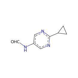 O=CNc1cnc(C2CC2)nc1